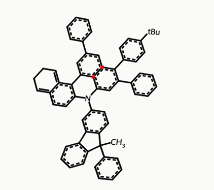 CC(C)(C)c1ccc(-c2ccc(N(c3ccc4c(c3)-c3ccccc3C4(C)c3ccccc3)c3ccc4c(c3-c3cccc(-c5ccccc5)c3)=CCCC=4)cc2-c2ccccc2)cc1